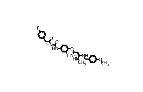 CN/C(=C\C(=N)Oc1ccc(NC(=O)NC(=O)Cc2ccc(F)cc2)cc1F)NCc1ccc(OC)cc1